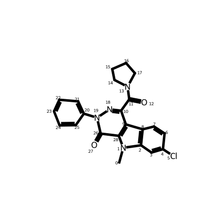 Cn1c2cc(Cl)ccc2c2c(C(=O)N3CCCC3)nn(-c3ccccc3)c(=O)c21